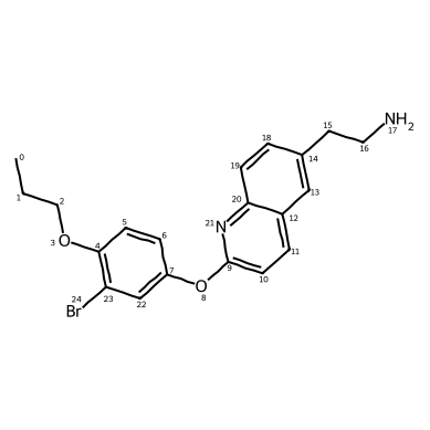 CCCOc1ccc(Oc2ccc3cc(CCN)ccc3n2)cc1Br